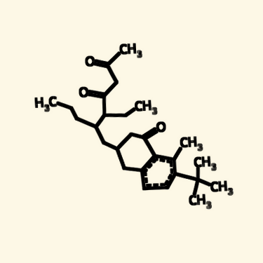 CCCC(CC1CC(=O)c2c(ccc(C(C)(C)C)c2C)C1)C(CC)C(=O)CC(C)=O